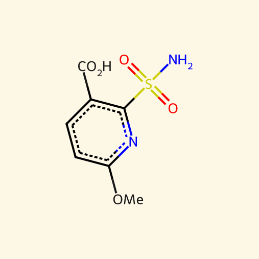 COc1ccc(C(=O)O)c(S(N)(=O)=O)n1